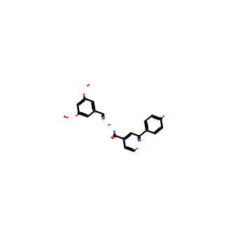 COc1cc(C=NNC(=O)c2ccnc(-c3ccc(Cl)cc3)c2)cc(OC)c1